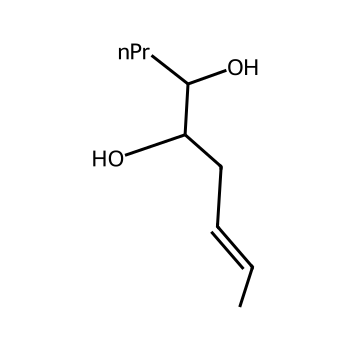 CC=CCC(O)C(O)CCC